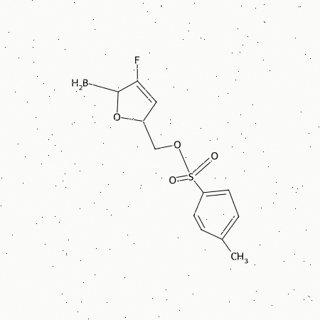 BC1OC(COS(=O)(=O)c2ccc(C)cc2)C=C1F